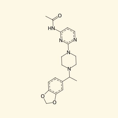 CC(=O)Nc1ccnc(N2CCN(C(C)c3ccc4c(c3)OCO4)CC2)n1